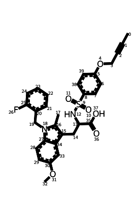 CC#CCOc1ccc(S(=O)(=O)NC(Cc2c(C)n(Cc3ccccc3F)c3ccc(OC)cc23)C(=O)O)cc1